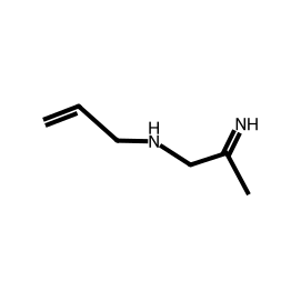 C=CCNCC(C)=N